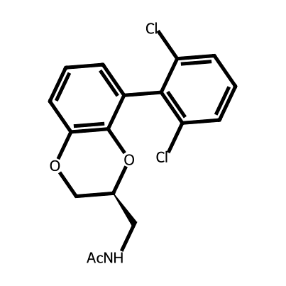 CC(=O)NC[C@H]1COc2cccc(-c3c(Cl)cccc3Cl)c2O1